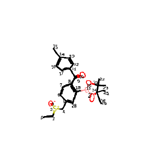 CC[S+]([O-])Cc1ccc(C(=O)c2ccc(C)cc2)c(B2OC(C)(C)C(C)(C)O2)c1